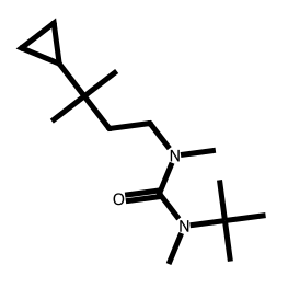 CN(CCC(C)(C)C1CC1)C(=O)N(C)C(C)(C)C